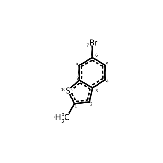 [CH2]c1cc2ccc(Br)cc2s1